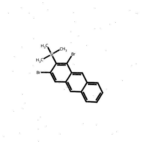 C[Si](C)(C)c1c(Br)cc2cc3ccccc3cc2c1Br